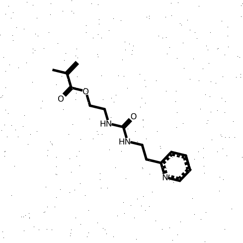 C=C(C)C(=O)OCCNC(=O)NCCc1ccccn1